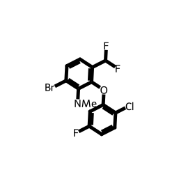 CNc1c(Br)ccc(C(F)F)c1Oc1cc(F)ccc1Cl